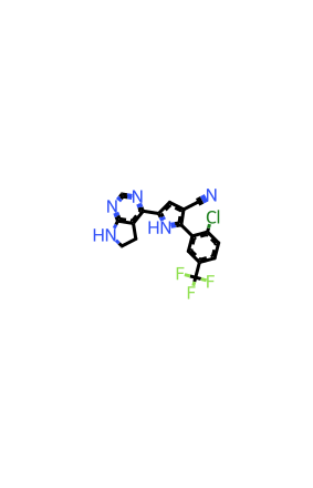 N#Cc1cc(-c2ncnc3c2CCN3)[nH]c1-c1cc(C(F)(F)F)ccc1Cl